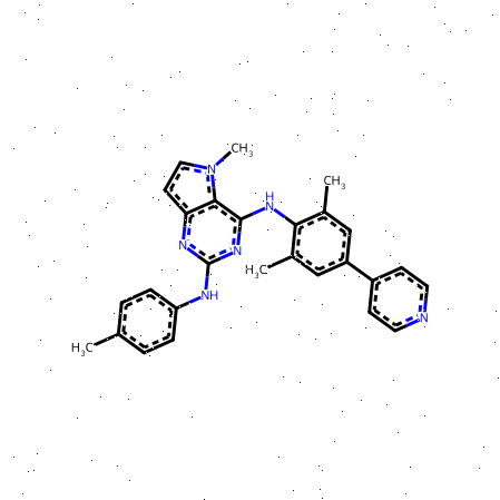 Cc1ccc(Nc2nc(Nc3c(C)cc(-c4ccncc4)cc3C)c3c(ccn3C)n2)cc1